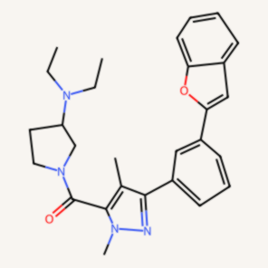 CCN(CC)C1CCN(C(=O)c2c(C)c(-c3cccc(-c4cc5ccccc5o4)c3)nn2C)C1